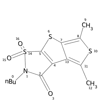 CCCCN1C(=O)c2c(sc3c(C)sc(C)c23)S1(=O)=O